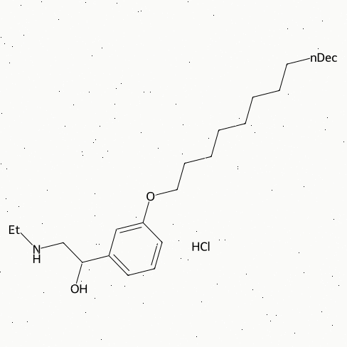 CCCCCCCCCCCCCCCCCCOc1cccc(C(O)CNCC)c1.Cl